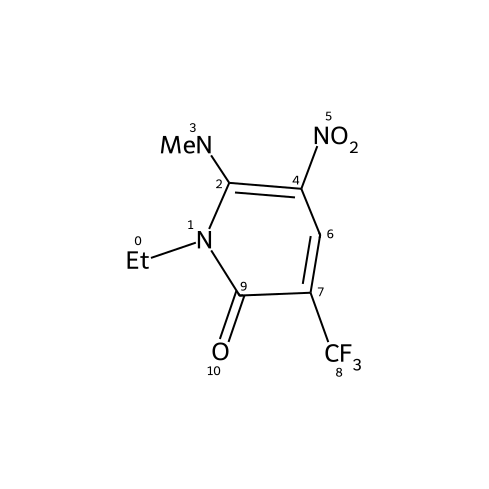 CCn1c(NC)c([N+](=O)[O-])cc(C(F)(F)F)c1=O